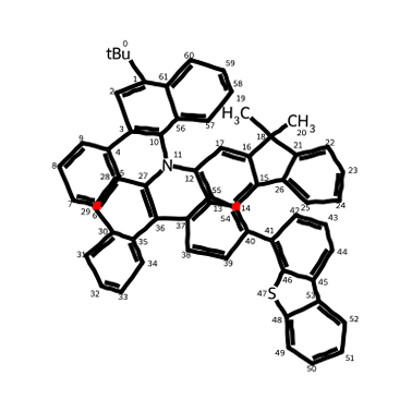 CC(C)(C)c1cc(-c2ccccc2)c(N(c2ccc3c(c2)C(C)(C)c2ccccc2-3)c2ccc3ccccc3c2-c2ccc(-c3cccc4c3sc3ccccc34)cc2)c2ccccc12